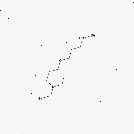 CC(C)CN1CCC(OCCCNC(C)C)CC1